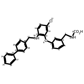 O=C(O)NCc1cccc(Oc2cc(Cl)ccc2NCc2ccc(-c3ccccc3)cc2)c1